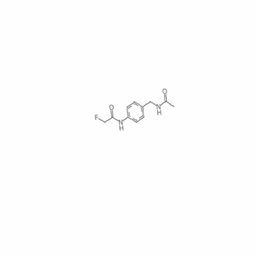 CC(=O)NCc1ccc(NC(=O)CF)cc1